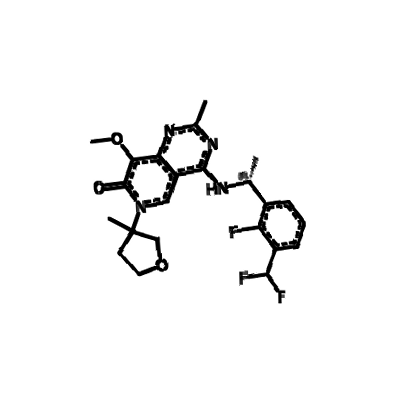 COc1c(=O)n(C2(C)CCOC2)cc2c(N[C@H](C)c3cccc(C(F)F)c3F)nc(C)nc12